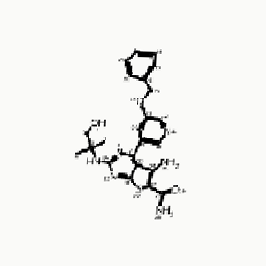 CC(C)(CO)Nc1nc(-c2cncc(OCc3ccccc3)c2)c2c(N)c(C(N)=O)sc2n1